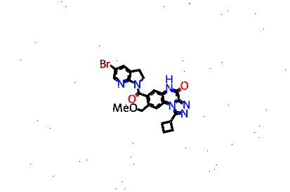 COCc1cc2c(cc1C(=O)N1CCc3cc(Br)cnc31)[nH]c(=O)c1nnc(C3CCC3)n12